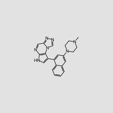 CN1CCN(c2cc(-c3c[nH]c4ncc5nncn5c34)c3ccccc3c2)CC1